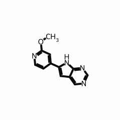 COc1cc(-c2cc3cncnc3[nH]2)ccn1